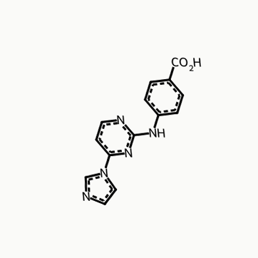 O=C(O)c1ccc(Nc2nccc(-n3ccnc3)n2)cc1